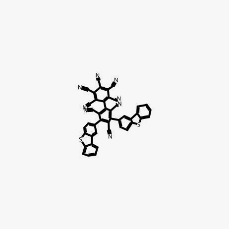 N#Cc1c(C#N)c(C#N)c(-c2c(C#N)c(-c3ccc4sc5ccccc5c4c3)c(C#N)c(-c3ccc4sc5ccccc5c4c3)c2C#N)c(C#N)c1C#N